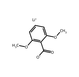 COc1cccc(OC)c1C(=O)[O-].[Li+]